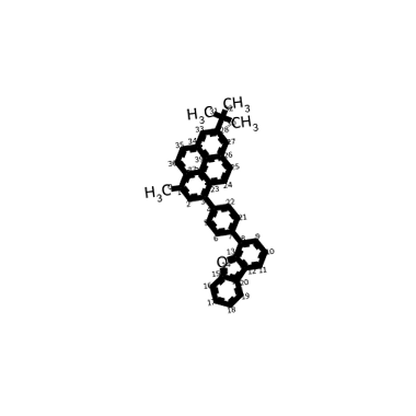 Cc1cc(-c2ccc(-c3cccc4c3oc3ccccc34)cc2)c2ccc3cc(C(C)(C)C)cc4ccc1c2c43